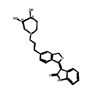 O=C1Nc2ccccc2C1=C1OCc2cc(CCCN3CC[C@H](O)[C@H](O)C3)ccc21